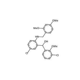 COc1ccc(CNc2ccc(Cl)cc2C(O)c2cccc(Cl)c2OC)c(OC)c1